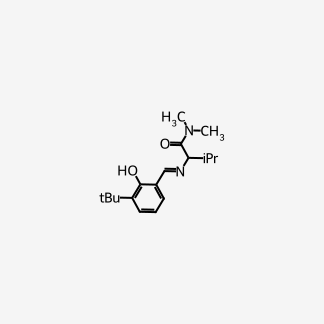 CC(C)C(N=Cc1cccc(C(C)(C)C)c1O)C(=O)N(C)C